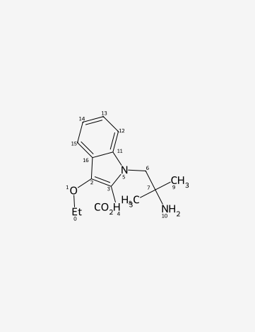 CCOc1c(C(=O)O)n(CC(C)(C)N)c2ccccc12